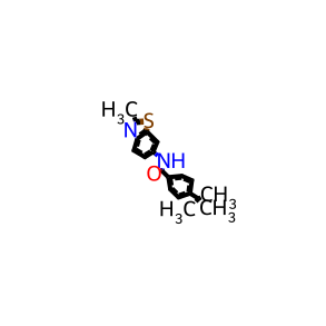 Cc1nc2ccc(NC(=O)c3ccc(C(C)(C)C)cc3)cc2s1